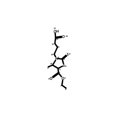 CCOC(=O)C1SC(=S)N(CCCC(=O)O)C1C